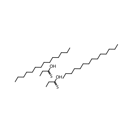 CCC(O)=S.CCC(O)=S.CCCCCCCCCCCCCC.CCCCCCCCCCCCCC